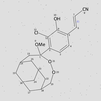 COC1(c2ccc(/C=C/C#N)c(O)c2Cl)CC2CC3CC(COO1)CC(C3)C2